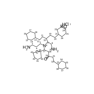 Cl.Cl.NCCCN(C(CN)C(CCC1CCCCC1)CCC1CCCCC1)C(CC(=O)CCC1CCCCC1)C1CCCCC1